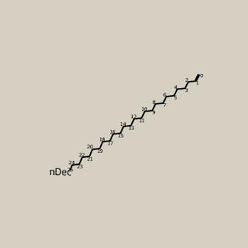 C=CCCCCCCCCCCCCCCCCCCCCCCCCCCCCCCCCC